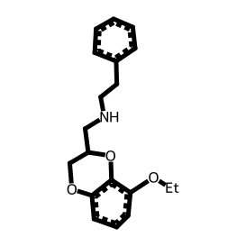 CCOc1cccc2c1OC(CNCCc1ccccc1)CO2